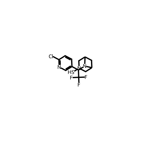 FC(F)(F)C(c1ccc(Cl)nc1)N1C2CC1CN(S)C2